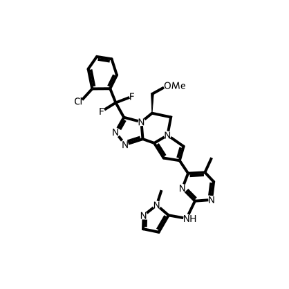 COC[C@H]1Cn2cc(-c3nc(Nc4ccnn4C)ncc3C)cc2-c2nnc(C(F)(F)c3ccccc3Cl)n21